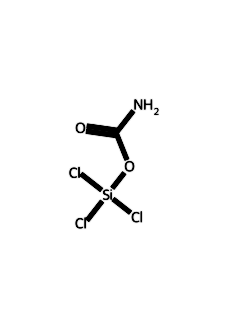 NC(=O)O[Si](Cl)(Cl)Cl